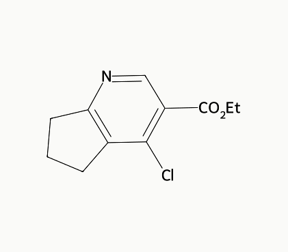 CCOC(=O)c1cnc2c(c1Cl)CCC2